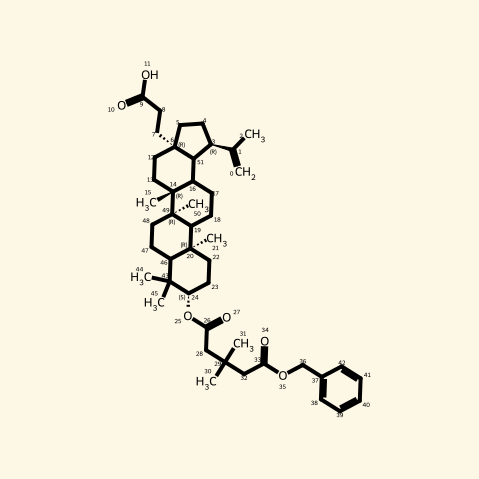 C=C(C)[C@@H]1CC[C@]2(CCC(=O)O)CC[C@]3(C)C(CCC4[C@@]5(C)CC[C@H](OC(=O)CC(C)(C)CC(=O)OCc6ccccc6)C(C)(C)C5CC[C@]43C)C12